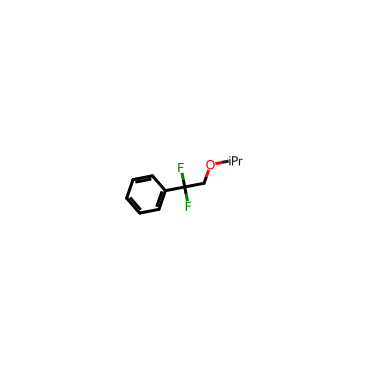 CC(C)OCC(F)(F)c1ccccc1